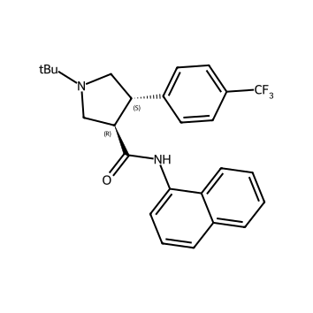 CC(C)(C)N1C[C@H](C(=O)Nc2cccc3ccccc23)[C@@H](c2ccc(C(F)(F)F)cc2)C1